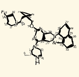 C[C@@H]1CN(c2nc(OCC3(CN4CC[C@@H](F)C4)CC3)nc3c2CCN(c2cccc4cccc(Br)c24)C3)CCN1